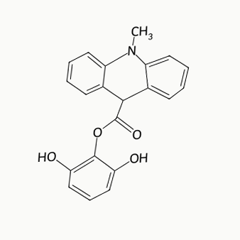 CN1c2ccccc2C(C(=O)Oc2c(O)cccc2O)c2ccccc21